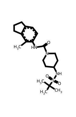 Cc1c(NC(=O)N2CCC(NS(=O)(=O)C(C)(C)C)CC2)ccc2c1CCC2